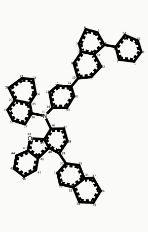 c1ccc(-c2cccc3cc(-c4ccc(N(c5cccc6ccccc56)c5ccc(-c6ccc7ccccc7c6)c6c5oc5ccccc56)cc4)ccc23)cc1